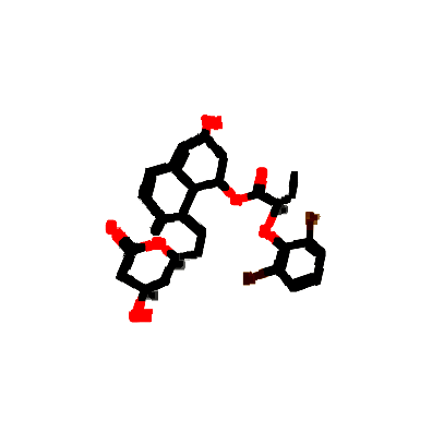 CC[C@H](Oc1c(Br)cccc1Br)C(=O)OC1CC(O)C=C2C=CC(C)C(CC[C@@H]3C[C@@H](O)CC(=O)O3)C21